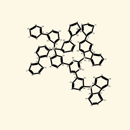 c1ccc(-c2cccc([Si](c3cccc(-c4ccccc4)c3)(c3cccc(-c4ccccc4)c3)c3cccc(-c4cc(-c5cccc(-n6c7ccccc7c7ccccc76)c5)nc(-n5c6ccccc6c6cc(-c7ccccc7)ccc65)n4)c3)c2)cc1